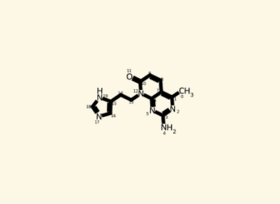 Cc1nc(N)nc2c1ccc(=O)n2CCc1cnc[nH]1